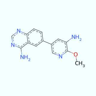 COc1ncc(-c2ccc3ncnc(N)c3c2)cc1N